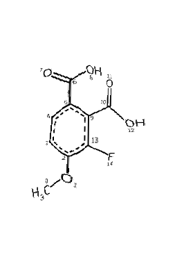 COc1ccc(C(=O)O)c(C(=O)O)c1F